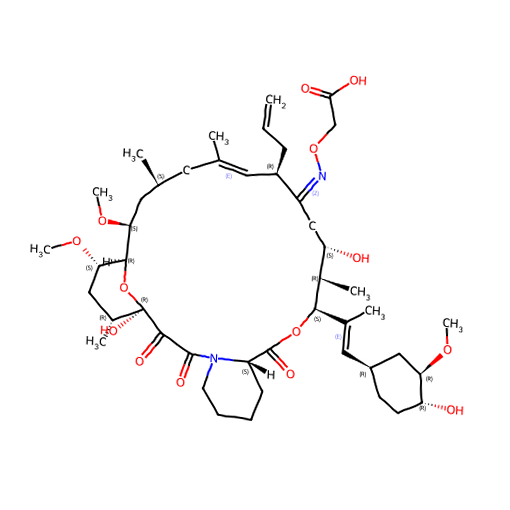 C=CC[C@@H]1/C=C(\C)C[C@H](C)C[C@H](OC)[C@H]2O[C@@](O)(C(=O)C(=O)N3CCCC[C@H]3C(=O)O[C@H](/C(C)=C/[C@@H]3CC[C@@H](O)[C@H](OC)C3)[C@H](C)[C@@H](O)C/C1=N/OCC(=O)O)[C@H](C)C[C@@H]2OC